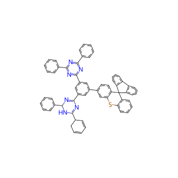 C1=CCC(C2=NC(c3cc(-c4ccc5c(c4)Sc4ccccc4C54c5ccccc5-c5ccccc54)cc(-c4nc(-c5ccccc5)nc(-c5ccccc5)n4)c3)=NC(c3ccccc3)N2)C=C1